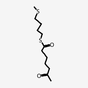 CSCCCCSC(=O)CCCCC(C)=O